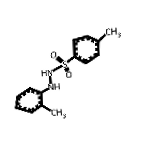 Cc1ccc(S(=O)(=O)NNc2ccccc2C)cc1